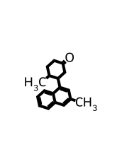 Cc1cc(C2CC(=O)CCC2C)c2ccccc2c1